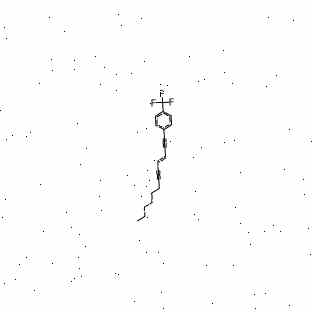 CCCCCCC#CC=CC#Cc1ccc(C(F)(F)F)cc1